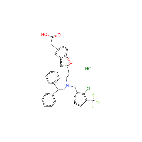 Cl.O=C(O)Cc1ccc2oc(CCN(Cc3cccc(C(F)(F)F)c3Cl)CC(c3ccccc3)c3ccccc3)cc2c1